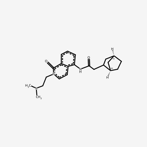 CN(C)CCn1ccc2c(NC(=O)CC3C[C@H]4CC[C@@H]3C4)cccc2c1=O